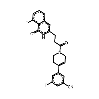 N#Cc1cc(F)cc(C2=CCN(C(=O)CCc3cc4cccc(F)c4c(=O)[nH]3)CC2)c1